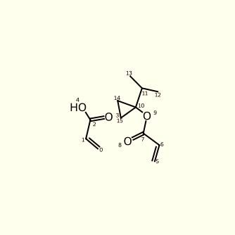 C=CC(=O)O.C=CC(=O)OC1(C(C)C)CC1